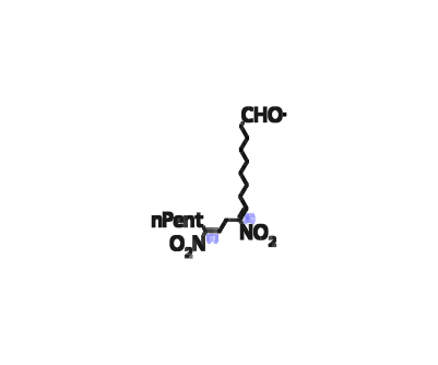 CCCCC/C(=C\C/C(=C\CCCCCCC[C]=O)[N+](=O)[O-])[N+](=O)[O-]